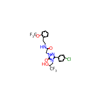 O=C(Cn1nc(-c2ccc(Cl)cc2)n(CC(O)C(F)(F)F)c1=O)NCCc1ccccc1OC(F)(F)F